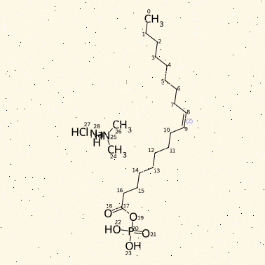 CCCCCCCC/C=C\CCCCCCCC(=O)OP(=O)(O)O.CNC.Cl.[NaH]